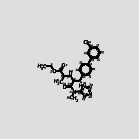 CCOC(=O)C(C)NC(Cc1ccc(-c2cccc(Cl)c2)cc1)C(=O)N(C)c1nnn[nH]1